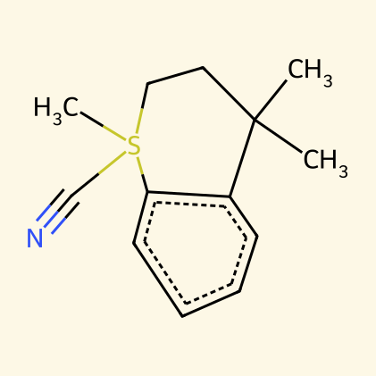 CC1(C)CCS(C)(C#N)c2ccccc21